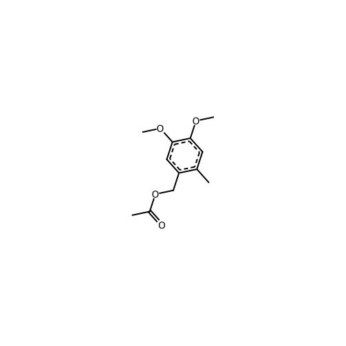 COc1cc(C)c(COC(C)=O)cc1OC